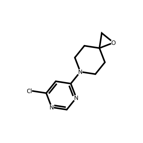 Clc1cc(N2CCC3(CC2)CO3)ncn1